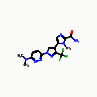 CN(C)c1ccc(-n2cc(-c3cnc(C(N)=O)n3C)c(C(F)(F)F)n2)nn1